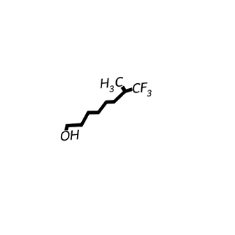 CC(CCCCCCO)C(F)(F)F